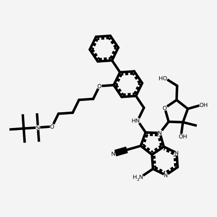 CC1(O)C(O)C(CO)OC1n1c(NCc2ccc(-c3ccccc3)c(OCCCCO[Si](C)(C)C(C)(C)C)c2)c(C#N)c2c(N)ncnc21